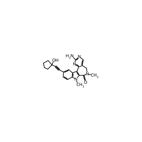 CN1Cc2cnc(N)nc2-c2c(n(C)c3ccc(C#CC4(O)CCCC4)cc23)C1=O